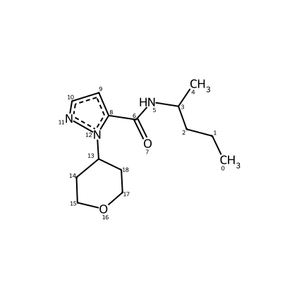 CCCC(C)NC(=O)c1ccnn1C1CCOCC1